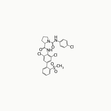 CS(=O)(=O)c1ccccc1-c1cc(Cl)c(NC(=O)C2CCCN2C(=O)Nc2ccc(Cl)cc2)c(Cl)c1